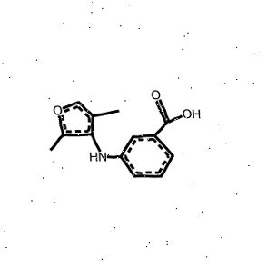 Cc1coc(C)c1Nc1cccc(C(=O)O)c1